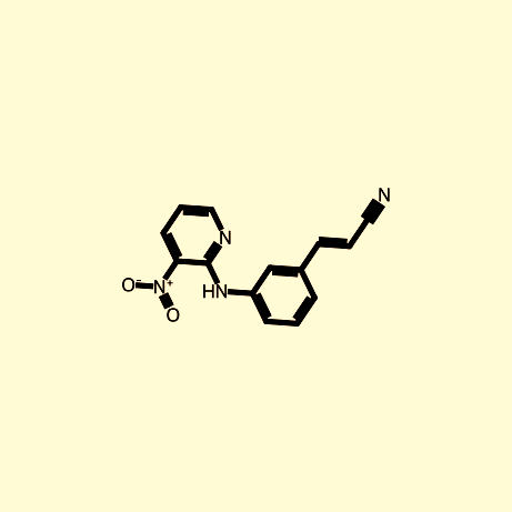 N#C/C=C/c1cccc(Nc2ncccc2[N+](=O)[O-])c1